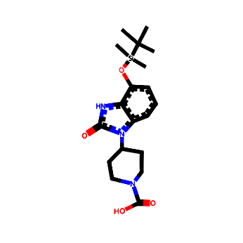 CC(C)(C)[Si](C)(C)Oc1cccc2c1[nH]c(=O)n2C1CCN(C(=O)O)CC1